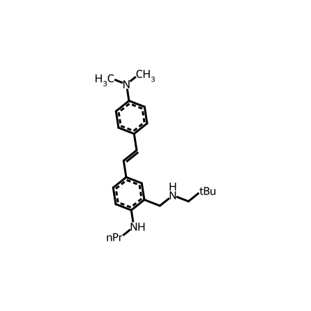 CCCNc1ccc(/C=C/c2ccc(N(C)C)cc2)cc1CNCC(C)(C)C